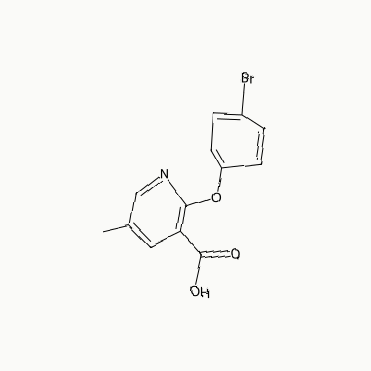 Cc1cnc(Oc2ccc(Br)cc2)c(C(=O)O)c1